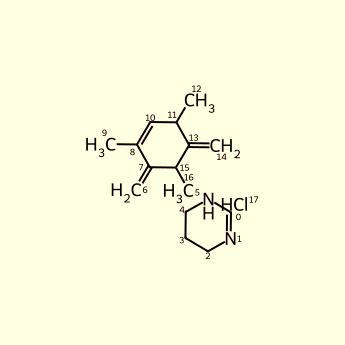 C1=NCCCN1.C=C1C(C)=CC(C)C(=C)C1C.Cl